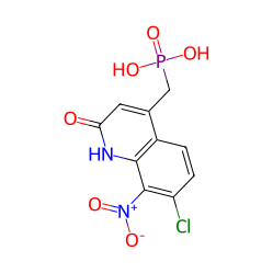 O=c1cc(CP(=O)(O)O)c2ccc(Cl)c([N+](=O)[O-])c2[nH]1